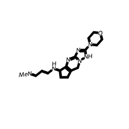 CNCCCNC1CCC2=C1N=C1N=C(N3CCOCC3)NN1C2